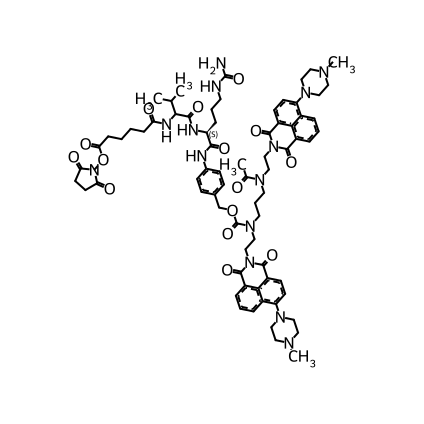 CC(=O)N(CCCN(CCN1C(=O)c2cccc3c(N4CCN(C)CC4)ccc(c23)C1=O)C(=O)OCc1ccc(NC(=O)[C@H](CCCNC(N)=O)NC(=O)C(NC(=O)CCCCC(=O)ON2C(=O)CCC2=O)C(C)C)cc1)CCN1C(=O)c2cccc3c(N4CCN(C)CC4)ccc(c23)C1=O